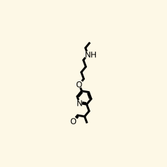 CCNCCCCOc1ccc(CC(C)C=O)nc1